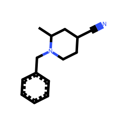 CC1CC(C#N)CCN1Cc1ccccc1